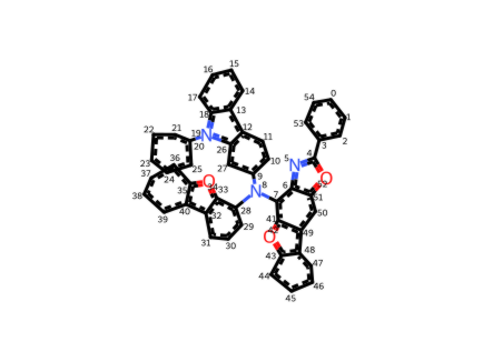 c1ccc(-c2nc3c(N(c4ccc5c6ccccc6n(-c6ccccc6)c5c4)c4cccc5c4oc4ccccc45)c4oc5ccccc5c4cc3o2)cc1